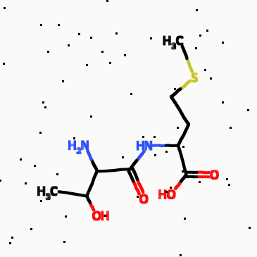 CSCCC(NC(=O)C(N)C(C)O)C(=O)O